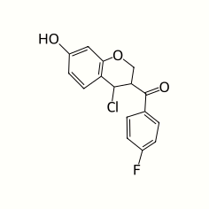 O=C(c1ccc(F)cc1)C1COc2cc(O)ccc2C1Cl